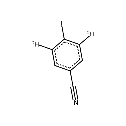 [2H]c1cc(C#N)cc([2H])c1I